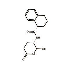 O=C1CC[C@H](NC(=O)[C@H]2CCCc3ccccc32)C(O)N1